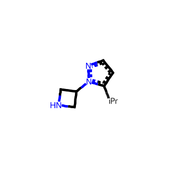 CC(C)c1ccnn1C1CNC1